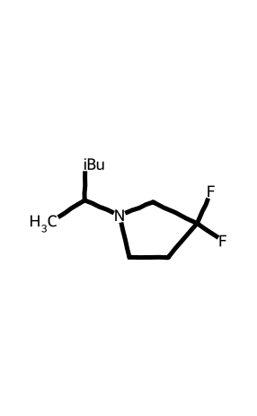 CCC(C)C(C)N1CCC(F)(F)C1